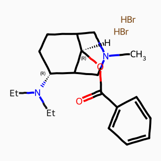 Br.Br.CCN(CC)[C@@H]1CCC2CN(C)CC1[C@@H]2OC(=O)c1ccccc1